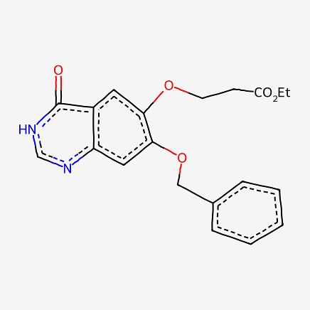 CCOC(=O)CCOc1cc2c(=O)[nH]cnc2cc1OCc1ccccc1